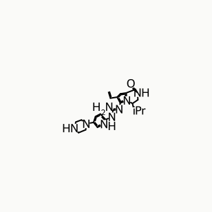 C=Cc1cc2n(c1/N=C(\N)Nc1ccc(N3CCNCC3)cn1)C(C(C)C)CNC2=O